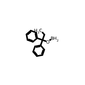 BOC(CC)(c1ccccc1)c1ccccc1